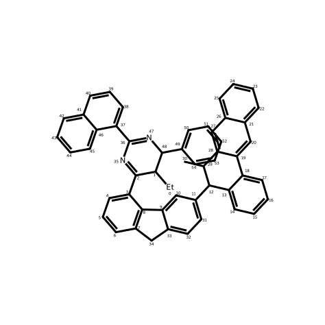 CCC1C(c2cccc3c2-c2cc(C4c5ccccc5-c5cc6ccccc6cc5C4C)ccc2C3)=NC(c2cccc3ccccc23)=NC1c1ccccc1